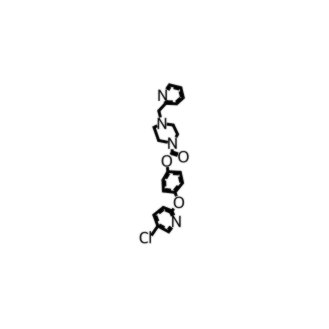 O=C(Oc1ccc(Oc2ccc(Cl)cn2)cc1)N1CCN(Cc2ccccn2)CC1